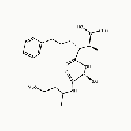 COCCC(C)NC(=O)[C@@H](NC(=O)[C@H](CCCc1ccccc1)[C@H](C)N(O)C=O)C(C)(C)C